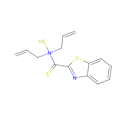 C=CC[N+](S)(CC=C)C(=S)c1nc2ccccc2s1